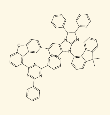 CC1(C)c2ccccc2-c2c(-n3c4ccc(-c5ccc6oc7cccc(-c8nc(-c9ccccc9)nc(-c9ccccc9)n8)c7c6c5)cc4n4c(-c5ccccc5)c(-c5ccccc5)nc34)cccc21